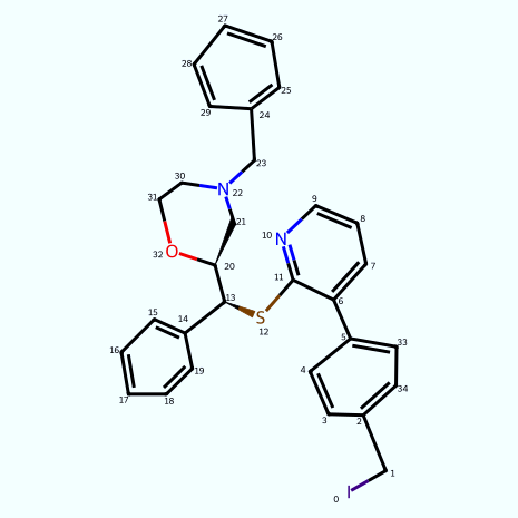 ICc1ccc(-c2cccnc2S[C@@H](c2ccccc2)[C@@H]2CN(Cc3ccccc3)CCO2)cc1